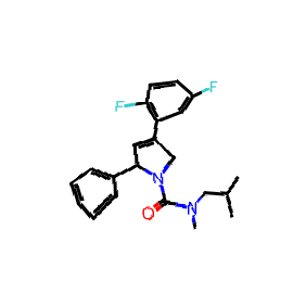 CC(C)CN(C)C(=O)N1CC(c2cc(F)ccc2F)=CC1c1ccccc1